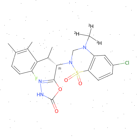 [2H]C([2H])([2H])N1CN([C@H](c2n[nH]c(=O)o2)C(C)c2c(F)ccc(C)c2C)S(=O)(=O)c2ccc(Cl)cc21